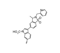 CC1c2cc(-c3cn(C(=O)O)c4cc(F)ccc34)ccc2S(=O)(=O)N1Cc1ccccn1